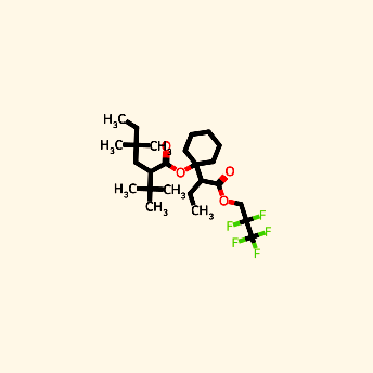 CCC(C(=O)OCC(F)(F)C(F)(F)F)C1(OC(=O)C(CC(C)(C)CC)C(C)(C)C)CCCCC1